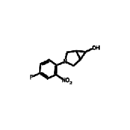 O=[N+]([O-])c1cc(F)ccc1N1CC2C(O)C2C1